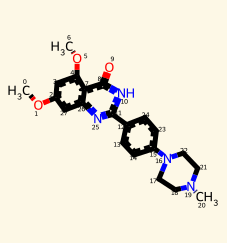 COc1cc(OC)c2c(=O)[nH]c(-c3ccc(N4CCN(C)CC4)cc3)nc2c1